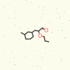 CCCOC(C=O)CC1CCCC(C)C1